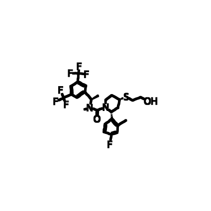 Cc1cc(F)ccc1[C@H]1C[C@@H](SCCO)CCN1C(=O)N(C)[C@H](C)c1cc(C(F)(F)F)cc(C(F)(F)F)c1